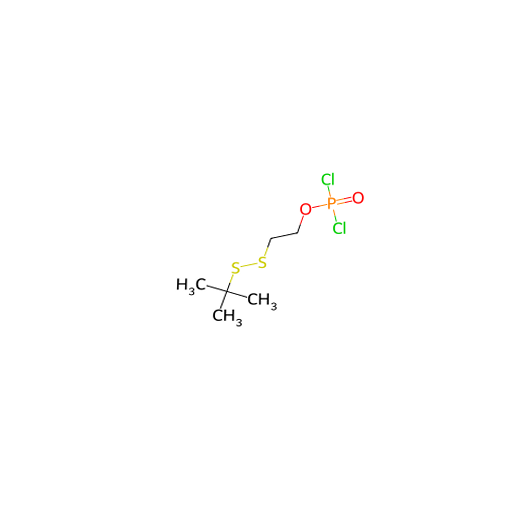 CC(C)(C)SSCCOP(=O)(Cl)Cl